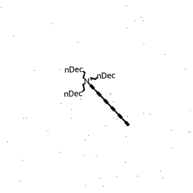 C#CC#CC#CC#CC#CC#C[N+](CCCCCCCCCCCC)(CCCCCCCCCCCC)CCCCCCCCCCCC